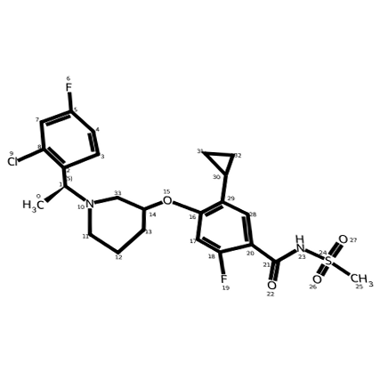 C[C@@H](c1ccc(F)cc1Cl)N1CCCC(Oc2cc(F)c(C(=O)NS(C)(=O)=O)cc2C2CC2)C1